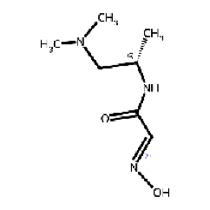 C[C@@H](CN(C)C)NC(=O)/C=N/O